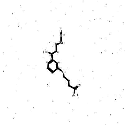 NC(=O)CCCOc1cccc(C(O)CCNB=O)c1